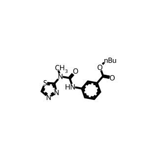 CCCCOC(=O)c1cccc(NC(=O)N(C)c2nncs2)c1